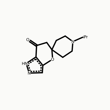 CC(C)N1CCC2(CC1)CC(=O)c1[nH]ncc1O2